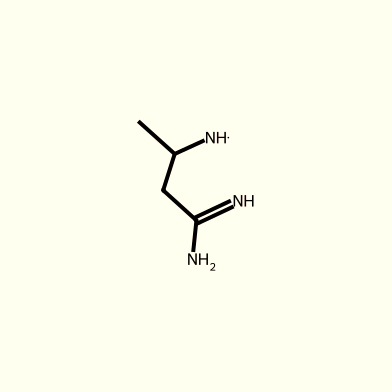 CC([NH])CC(=N)N